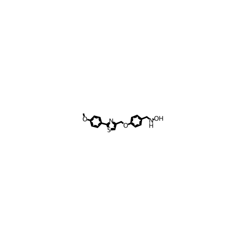 COc1ccc(-c2nc(COc3ccc(CNO)cc3)cs2)cc1